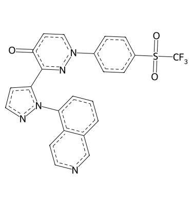 O=c1ccn(-c2ccc(S(=O)(=O)C(F)(F)F)cc2)nc1-c1ccnn1-c1cccc2cnccc12